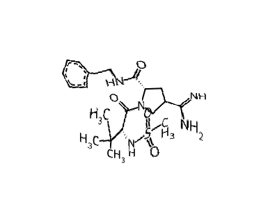 CC(C)(C)[C@@H](NS(C)(=O)=O)C(=O)N1CC(C(=N)N)C[C@H]1C(=O)NCc1ccccc1